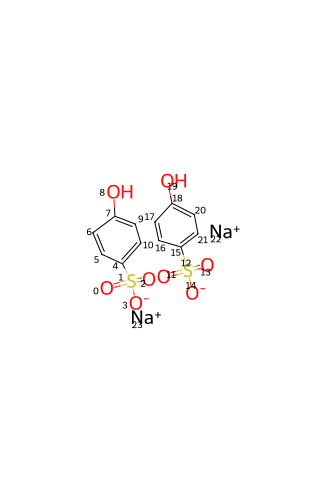 O=S(=O)([O-])c1ccc(O)cc1.O=S(=O)([O-])c1ccc(O)cc1.[Na+].[Na+]